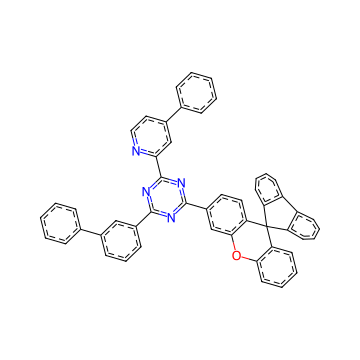 c1ccc(-c2cccc(-c3nc(-c4ccc5c(c4)Oc4ccccc4C54c5ccccc5-c5ccccc54)nc(-c4cc(-c5ccccc5)ccn4)n3)c2)cc1